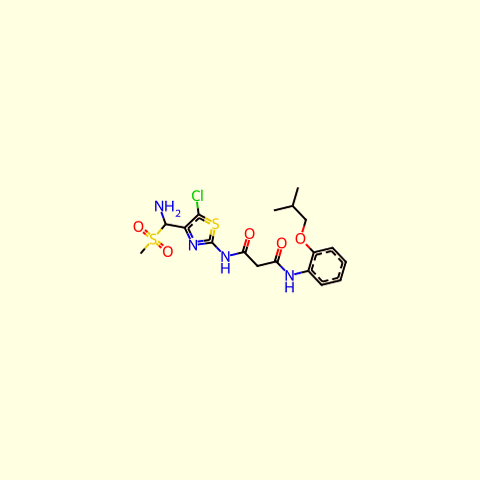 CC(C)COc1ccccc1NC(=O)CC(=O)Nc1nc(C(N)S(C)(=O)=O)c(Cl)s1